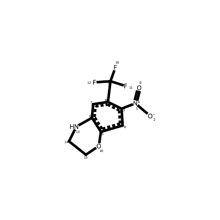 O=[N+]([O-])c1cc2c(cc1C(F)(F)F)NCCO2